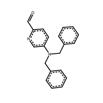 O=Cc1ccc(N(Cc2ccccc2)Cc2ccccc2)cn1